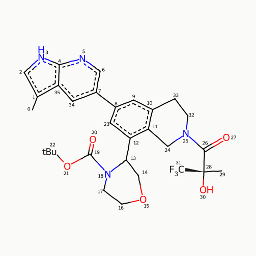 Cc1c[nH]c2ncc(-c3cc4c(c(C5COCCN5C(=O)OC(C)(C)C)c3)CN(C(=O)[C@](C)(O)C(F)(F)F)CC4)cc12